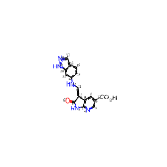 O=C1Nc2ncc(C(=O)O)cc2/C1=C/Nc1ccc2cn[nH]c2c1